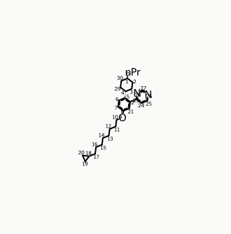 CCC[C@H]1CC[C@H](c2ccc(OCCCCCCCCC3CC3)cc2-c2ccncn2)CC1